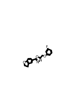 Fc1cccc(OCc2nnc(-c3ccc4c(c3)CCO4)o2)c1